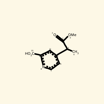 COC(=O)C(C)c1ccnc(C(=O)O)c1